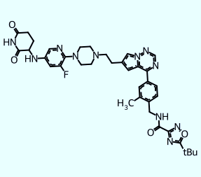 Cc1cc(-c2ncnn3cc(CCN4CCN(c5ncc(NC6CCC(=O)NC6=O)cc5F)CC4)cc23)ccc1CNC(=O)c1noc(C(C)(C)C)n1